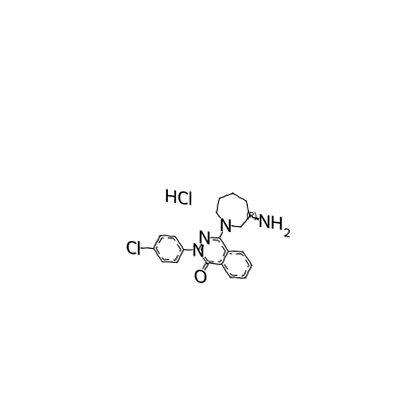 Cl.N[C@@H]1CCCCN(c2nn(-c3ccc(Cl)cc3)c(=O)c3ccccc23)C1